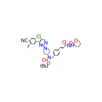 CC(C)(C)OC(=O)N(Cc1ccc(C=CC(=O)NOC2CCCCO2)cc1)C1CCN(c2ncc(Cl)c(-c3ccc(C#N)c(F)c3)n2)CC1